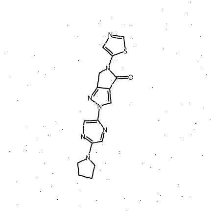 O=C1c2cn(-c3cnc(N4CCCC4)cn3)nc2CN1c1cncs1